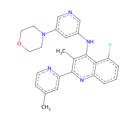 Cc1ccnc(-c2nc3cccc(F)c3c(Nc3cncc(N4CCOCC4)c3)c2C)c1